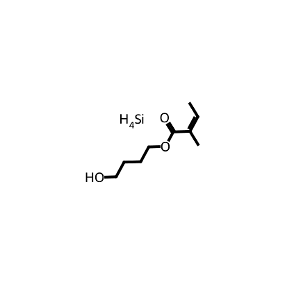 CC=C(C)C(=O)OCCCCO.[SiH4]